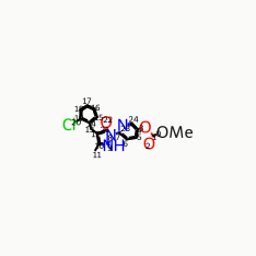 COC(=O)Oc1ccc(-n2[nH]c(C)c(Cc3ccccc3Cl)c2=O)nc1